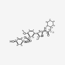 COc1ccc(-c2sc(NC(=O)[C@@H](C)C3CCCCC3)nc2C)cc1S(=O)(=O)Nc1ccc(O)cc1